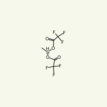 C[SiH](OC(=O)C(F)(F)F)OC(=O)C(F)(F)F